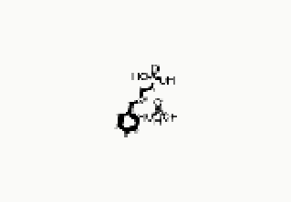 O=P(O)(O)CCSCc1ccccc1.O=[PH](O)O